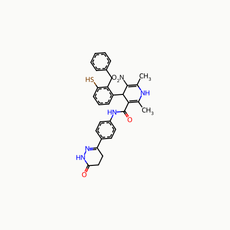 CC1=C(C(=O)Nc2ccc(C3=NNC(=O)CC3)cc2)C(c2cccc(S)c2Cc2ccccc2)C([N+](=O)[O-])=C(C)N1